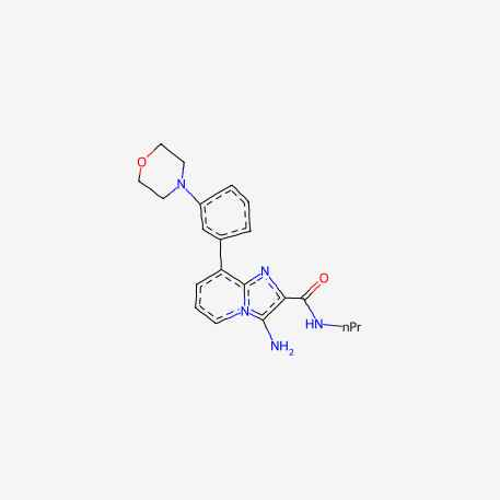 CCCNC(=O)c1nc2c(-c3cccc(N4CCOCC4)c3)cccn2c1N